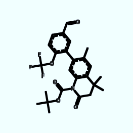 Cc1cc2c(cc1-c1cc(C=O)ccc1OC(F)(F)F)N(C(=O)OC(C)(C)C)C(=O)CC2(C)C